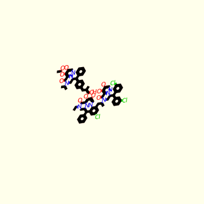 CCN1CC(C(c2ccccc2)c2cc(Cl)cc(CC(C)N3CC(C(c4cccc(Cl)c4)c4cccc(Cl)c4)n4ncc(=O)c(O)c4C3=O)c2)n2ncc(=O)c(OC(=O)C(C)Cc3ccc(C(c4ccccc4)C4CN(C(C)C)C(=O)c5c(OC(C)=O)c(=O)cnn54)cc3)c2C1=O